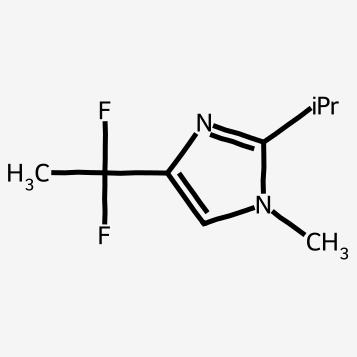 CC(C)c1nc(C(C)(F)F)cn1C